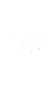 COc1c(C)c2c(c(OCOC(=O)CCC(=O)OC(COC(C)=O)COC(C)=O)c1C/C=C(\C)CCC(=O)OCCN1CCOCC1)C(=O)OC2